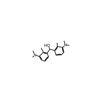 Cc1c(C(O)c2cccc(N(C)C)c2C)cccc1N(C)C